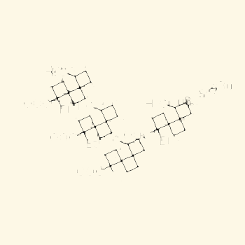 CCC1(C(=O)[O-])CCC12CCC21CCC1C.CCC1(C(=O)[O-])CCC12CCC21CCC1C.CCC1(C(=O)[O-])CCC12CCC21CCC1C.CCC1(C(=O)[O-])CCC12CCC21CCC1C.CCC[CH2][Sn+2][CH2]CCC.[Sn+2]